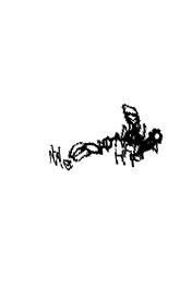 COC1(C)CCC(N2CCC(CNc3cc(-n4c(C(F)F)nc5ccccc54)nc(N4CCOCC4)n3)CC2)CC1